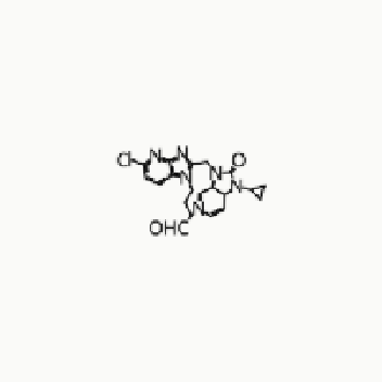 O=CCCCn1c(CN2C(=O)N(C3CC3)C3C=CN=CC32)nc2nc(Cl)ccc21